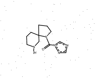 CC(C)N1CCCC2(CCCN2C(=O)n2cncn2)C1